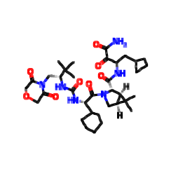 CC(C)(C)[C@@H](CN1C(=O)COCC1=O)NC(=O)N[C@H](C(=O)N1C[C@H]2[C@@H]([C@H]1C(=O)NC(CC1CCC1)C(=O)C(N)=O)C2(C)C)C1CCCCC1